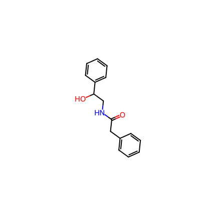 O=C(Cc1ccccc1)NCC(O)c1ccccc1